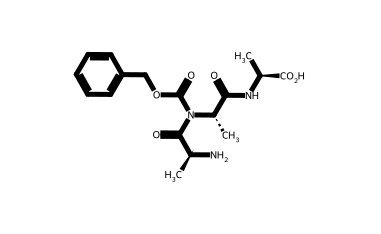 C[C@H](N)C(=O)N(C(=O)OCc1ccccc1)[C@@H](C)C(=O)N[C@@H](C)C(=O)O